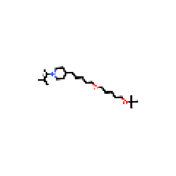 CC(C)[C@@H](C)N1CCC(CCCCCOCCCCCOC(C)(C)C)CC1